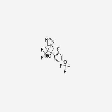 OC(Cn1cncn1)(c1ccc(OC(F)(F)F)cc1F)C1(C(F)(F)F)CC1